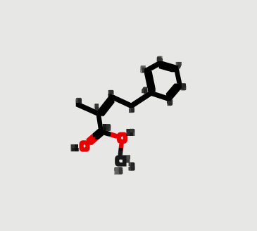 CC(=CCc1ccccc1)C(=O)OC(F)(F)F